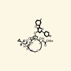 COC(=O)N[C@H]1CCCCC/C=C\[C@@H]2C[C@@]2(C(=O)NS(=O)(=O)C2CC2)NC(=O)[C@@H]2C[C@@H](Oc3cc(-c4ccc(F)cc4)nc4c3oc3ccc(C)cc34)CN2C1=O